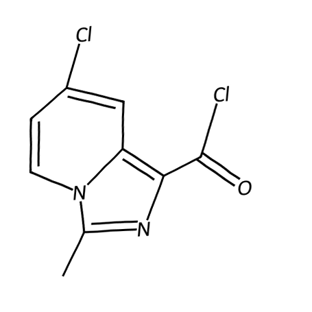 Cc1nc(C(=O)Cl)c2cc(Cl)ccn12